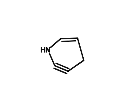 C1#CNC=CC1